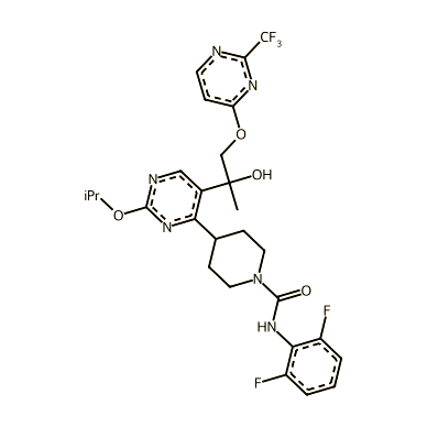 CC(C)Oc1ncc(C(C)(O)COc2ccnc(C(F)(F)F)n2)c(C2CCN(C(=O)Nc3c(F)cccc3F)CC2)n1